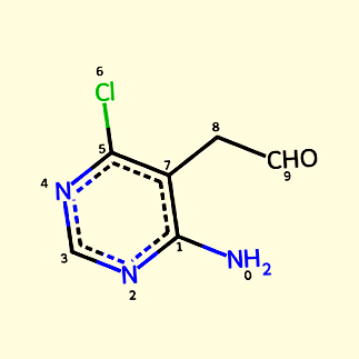 Nc1ncnc(Cl)c1CC=O